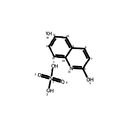 O=S(=O)(O)O.Oc1ccc2ccccc2n1.[KH]